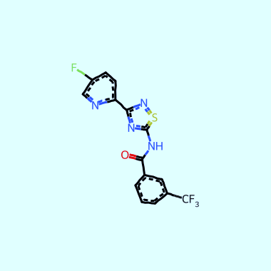 O=C(Nc1nc(-c2ccc(F)cn2)ns1)c1cccc(C(F)(F)F)c1